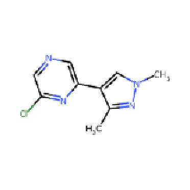 Cc1nn(C)cc1-c1cncc(Cl)n1